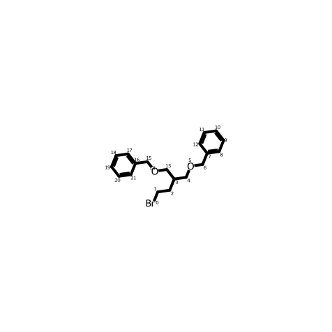 BrCCC(COCc1ccccc1)COCc1ccccc1